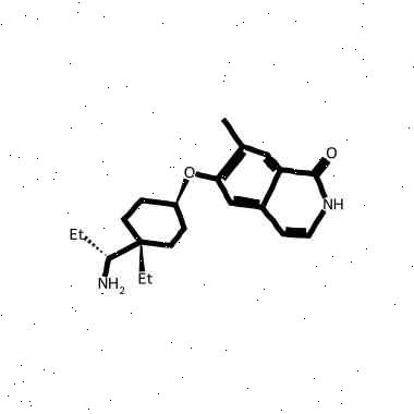 CC[C@@H](N)[C@]1(CC)CC[C@@H](Oc2cc3cc[nH]c(=O)c3cc2C)CC1